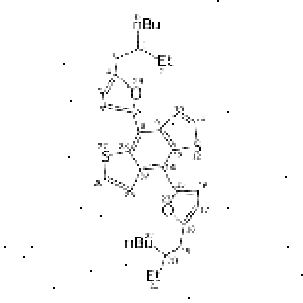 CCCCC(CC)Cc1ccc(-c2c3ccsc3c(-c3ccc(CC(CC)CCCC)o3)c3ccsc23)o1